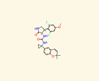 COc1cc(F)c([C@@H]2CNC(=O)[C@H]2NC(=O)NC2(c3ccc4c(c3)C=CC(C)(C)O4)CC2)c(F)c1